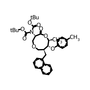 Cc1ccc(O[C@@H]2[C@@H](Cc3cccc4ccccc34)COC[C@H](N(C(=O)OC(C)(C)C)C(=O)OC(C)(C)C)C(=O)O[C@H]2C)cc1